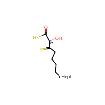 CCCCCCCCCCCC(=S)[C@@H](O)C(=O)S